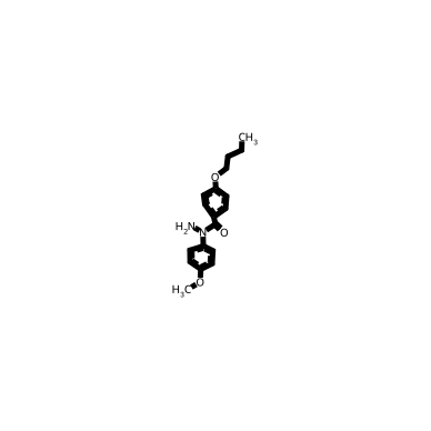 CCCCOc1ccc(C(=O)N(N)c2ccc(OC)cc2)cc1